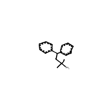 CC(C)(N)CC(c1ccccc1)c1ccccc1